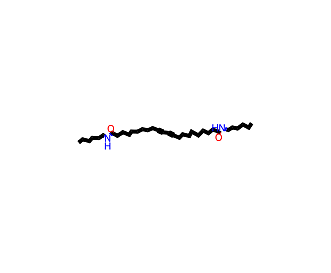 CCCCCCNC(=O)CCCCCCCCC#CC#CCCCCCCCCC(=O)NCCCCCC